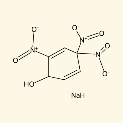 O=[N+]([O-])C1=CC([N+](=O)[O-])([N+](=O)[O-])C=CC1O.[NaH]